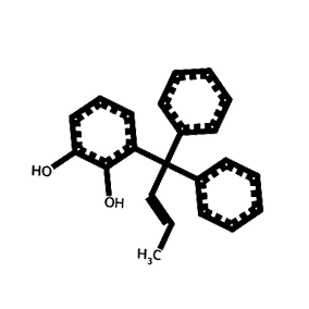 CC=CC(c1ccccc1)(c1ccccc1)c1cccc(O)c1O